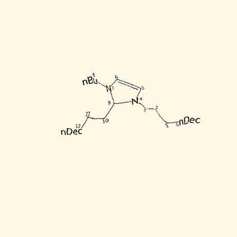 CCCCCCCCCCCCCN1C=CN(CCCC)C1CCCCCCCCCCCC